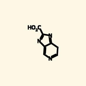 O=C(O)C1=NC2=CN=CCC2=N1